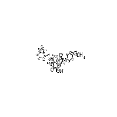 COc1ccc(N2CCC3(CCN(CCC4CCCc5sccc54)CC3)C2=O)cc1.O=C(O)C(=O)O